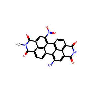 CN1C(=O)c2ccc3c4c(N)cc5c6c(ccc(c7c([N+](=O)[O-])cc(c2c37)C1=O)c64)C(=O)NC5=O